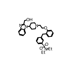 CCN(CC)S(=O)(=O)c1cccc(Cc2ccccc2OCCN2CCC(n3c(CO)nc4ccccc43)CC2)c1